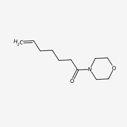 C=CCCCCC(=O)N1CCOCC1